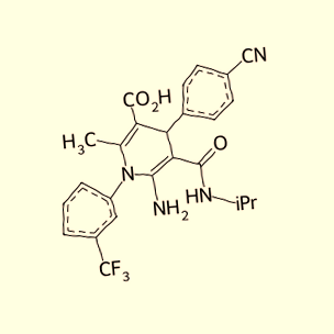 CC1=C(C(=O)O)C(c2ccc(C#N)cc2)C(C(=O)NC(C)C)=C(N)N1c1cccc(C(F)(F)F)c1